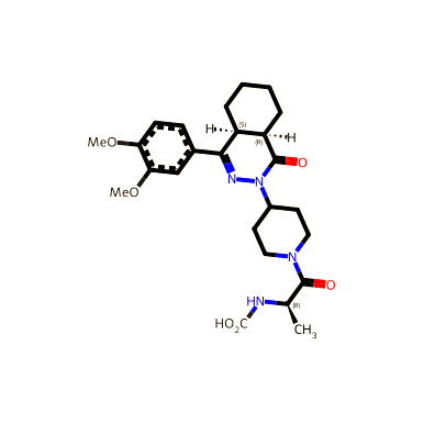 COc1ccc(C2=NN(C3CCN(C(=O)[C@@H](C)NC(=O)O)CC3)C(=O)[C@@H]3CCCC[C@H]23)cc1OC